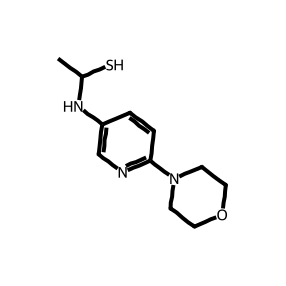 CC(S)Nc1ccc(N2CCOCC2)nc1